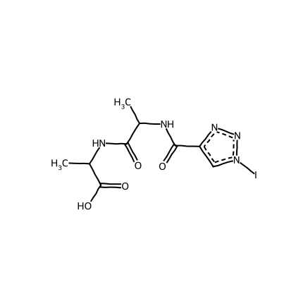 CC(NC(=O)C(C)NC(=O)c1cn(I)nn1)C(=O)O